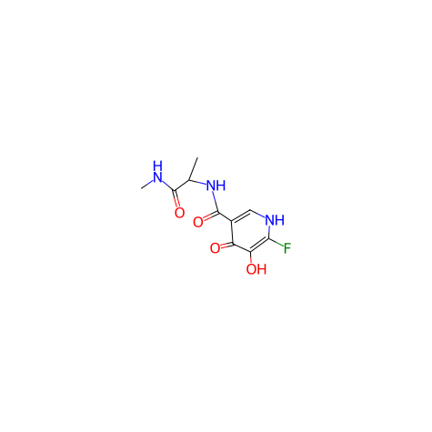 CNC(=O)C(C)NC(=O)c1c[nH]c(F)c(O)c1=O